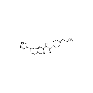 O=C(Nc1cc2cc(-c3cn[nH]c3)ccc2cn1)C1CCN(CCC(F)(F)F)CC1